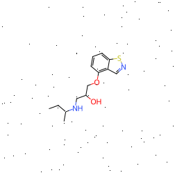 CCC(C)NCC(O)COc1cccc2sncc12